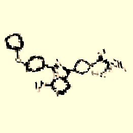 C[C@@H](O)C(=O)N1CCC(c2nc(-c3ccc(Oc4ccccc4)cc3)n3c(N)nccc23)CC1